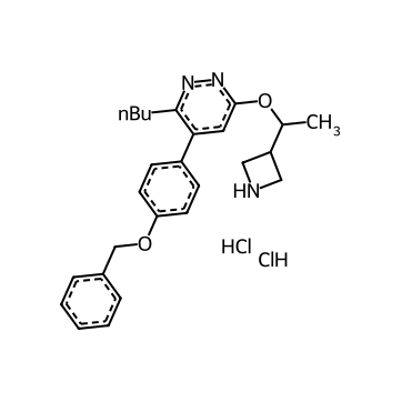 CCCCc1nnc(OC(C)C2CNC2)cc1-c1ccc(OCc2ccccc2)cc1.Cl.Cl